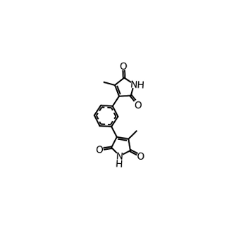 CC1=C(c2cccc(C3=C(C)C(=O)NC3=O)c2)C(=O)NC1=O